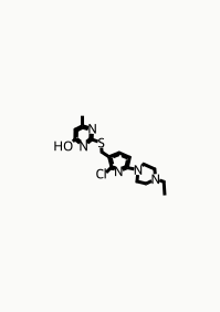 CCN1CCN(c2ccc(CSc3nc(C)cc(O)n3)c(Cl)n2)CC1